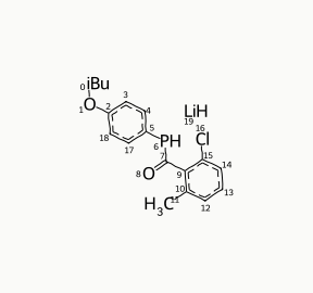 CCC(C)Oc1ccc(PC(=O)c2c(C)cccc2Cl)cc1.[LiH]